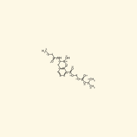 CSCC(=O)NC1Cc2cccc(C(=O)OCOC(=O)OC(C)C)c2OB1O